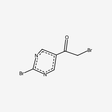 O=C(CBr)c1cnc(Br)nc1